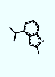 CC(C)c1cccc2[nH]c(I)nc12